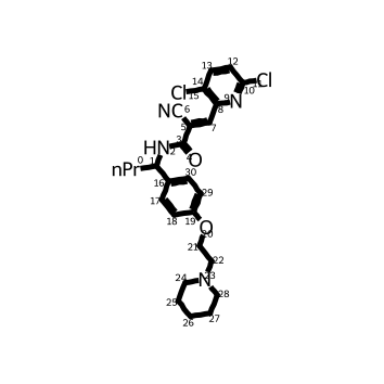 CCCC(NC(=O)/C(C#N)=C/c1nc(Cl)ccc1Cl)c1ccc(OCCN2CCCCC2)cc1